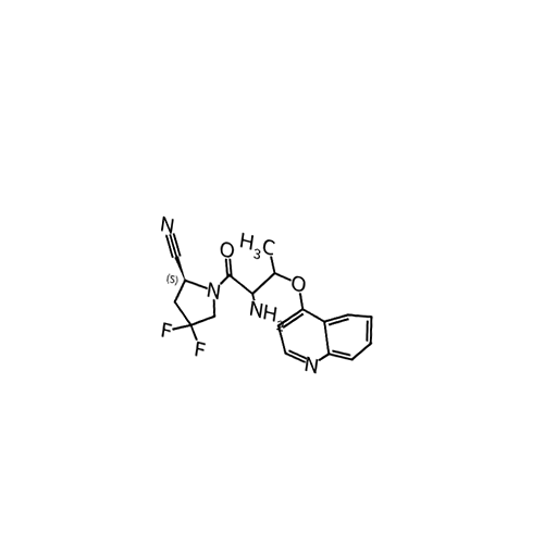 CC(Oc1ccnc2ccccc12)C(N)C(=O)N1CC(F)(F)C[C@H]1C#N